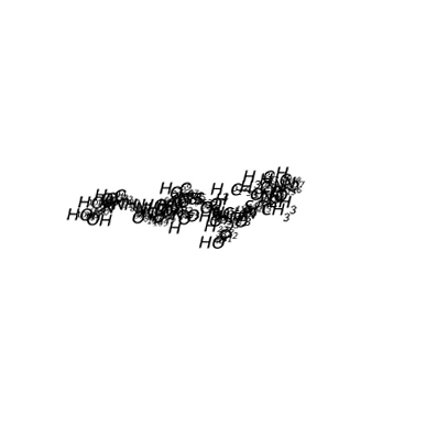 CCCCCOCN(C(=O)C(NC(=O)C1CCCCN1C)C(C)CC)[C@H](CCc1nc(C(=O)N[C@@H](Cc2ccc(O)cc2)CC(C)C(=O)NNC(=O)OCCSSC[C@@H](C)NC(=O)[C@H](CC(=O)O)NC(=O)C(CC(=O)O)NC(=O)Cc2ccc(CNC(=O)NCCCC[C@@H](C)NC(=O)N[C@@H](CCC(=O)O)C(=O)O)cc2)cs1)C(C)C